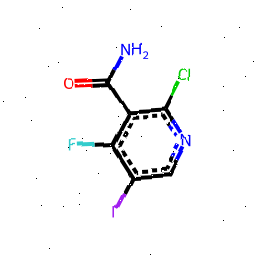 NC(=O)c1c(Cl)ncc(I)c1F